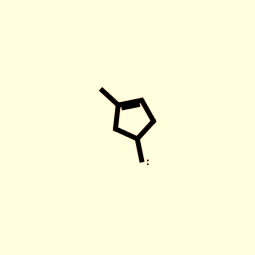 [CH]C1CC=C(C)C1